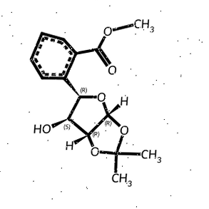 COC(=O)c1ccccc1[C@H]1O[C@@H]2OC(C)(C)O[C@@H]2[C@H]1O